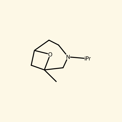 CC(C)N1CCC2CC(C)(C1)O2